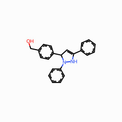 OCc1ccc(C2C=C(c3ccccc3)NN2c2ccccc2)cc1